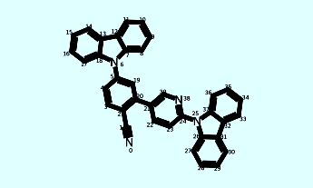 N#Cc1ccc(-n2c3ccccc3c3ccccc32)cc1-c1ccc(-n2c3ccccc3c3ccccc32)nc1